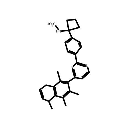 Cc1c(C)c2c(c(C)c1-c1ccnc(-c3ccc(C4(NC(=O)O)CCC4)cc3)n1)CC=CC2C